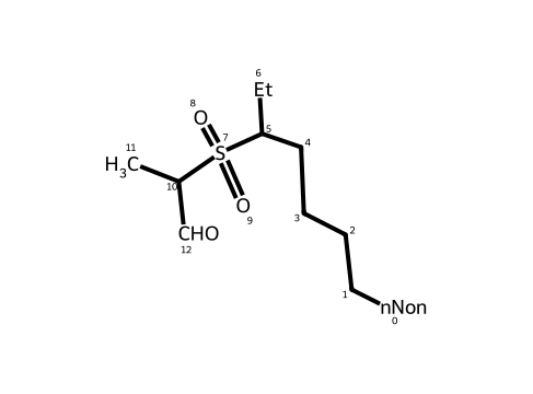 CCCCCCCCCCCCCC(CC)S(=O)(=O)C(C)C=O